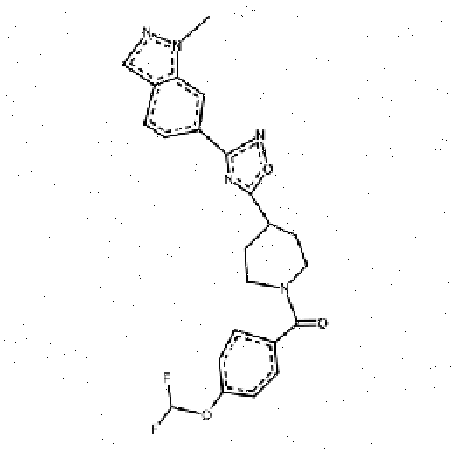 Cn1ncc2ccc(-c3noc(C4CCN(C(=O)c5ccc(OC(F)F)cc5)CC4)n3)cc21